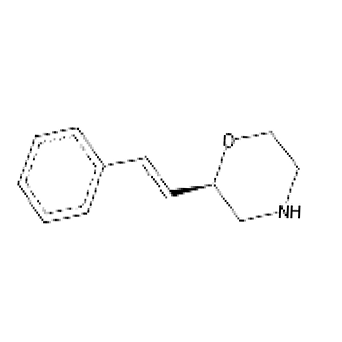 C(=C\[C@@H]1CNCCO1)/c1ccccc1